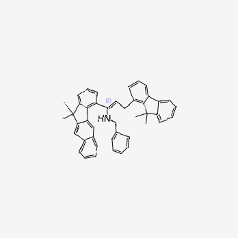 CC1(C)c2cc3ccccc3cc2-c2c(/C(=C/Cc3cccc4c3C(C)(C)c3ccccc3-4)NCc3ccccc3)cccc21